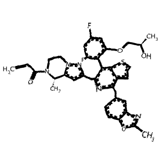 C=CC(=O)N1CCn2nc(-c3nc(-c4ccc5oc(C)nc5c4)c4ccsc4c3-c3c(F)cc(F)cc3OC[C@@H](C)O)cc2[C@@H]1C